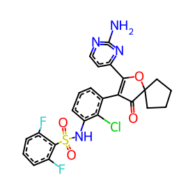 Nc1nccc(C2=C(c3cccc(NS(=O)(=O)c4c(F)cccc4F)c3Cl)C(=O)C3(CCCC3)O2)n1